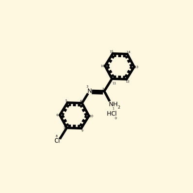 Cl.NC(=Nc1ccc(Cl)cc1)c1ccccc1